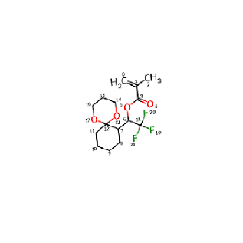 C=C(C)C(=O)OC(C1CCCCC12OCCCO2)C(F)(F)F